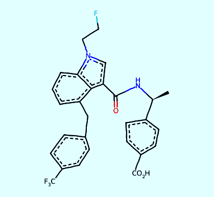 C[C@H](NC(=O)c1cn(CCF)c2cccc(Cc3ccc(C(F)(F)F)cc3)c12)c1ccc(C(=O)O)cc1